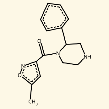 Cc1cc(C(=O)N2CCNCC2c2ccccc2)no1